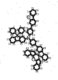 c1ccc(C2(c3ccccc3)c3ccccc3-c3ccc(N(c4ccc(-c5ccc6c(c5)C5(c7ccccc7-6)c6ccc7ccccc7c6Oc6c5ccc5ccccc65)cc4)c4ccc(-c5ccc6c(c5)oc5ccccc56)cc4)cc32)cc1